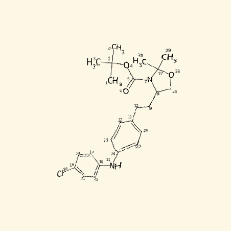 CC(C)(C)OC(=O)N1C(CCc2ccc(Nc3ccc(Cl)cc3)cc2)COC1(C)C